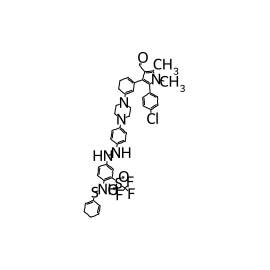 Cc1c(C=O)c(C2=CCCC(N3CCN(c4ccc(NNc5ccc(NSC6=CCCC=C6)c(S(=O)(=O)C(F)(F)F)c5)cc4)CC3)=C2)c(-c2ccc(Cl)cc2)n1C